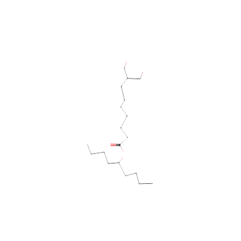 CCCCC(CCCC)OC(=O)CCCCCCC(CO)CO